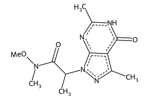 CON(C)C(=O)C(C)n1nc(C)c2c(=O)[nH]c(C)nc21